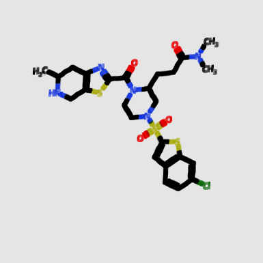 CC1Cc2nc(C(=O)N3CCN(S(=O)(=O)c4cc5ccc(Cl)cc5s4)CC3CCC(=O)N(C)C)sc2CN1